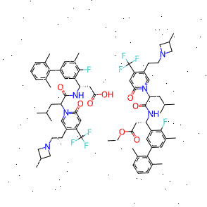 CCOC(=O)C[C@H](NC(=O)C(CC(C)C)n1cc(CCN2CC(C)C2)c(C(F)(F)F)cc1=O)c1cc(-c2c(C)cccc2C)cc(C)c1F.Cc1cc(-c2c(C)cccc2C)cc([C@H](CC(=O)O)NC(=O)C(CC(C)C)n2cc(CCN3CC(C)C3)c(C(F)(F)F)cc2=O)c1F